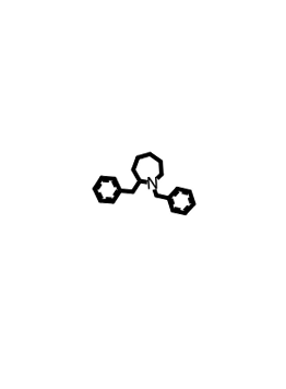 c1ccc(CC2CCCCCN2Cc2ccccc2)cc1